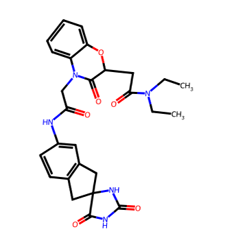 CCN(CC)C(=O)CC1Oc2ccccc2N(CC(=O)Nc2ccc3c(c2)CC2(C3)NC(=O)NC2=O)C1=O